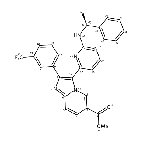 COC(=O)c1ccc2nc(-c3cccc(C(F)(F)F)c3)c(-c3ccnc(N[C@@H](C)c4ccccc4)n3)n2c1